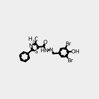 Cc1nc(-c2ccccc2)sc1C(=O)N/N=C/c1cc(Br)c(O)c(Br)c1